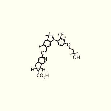 CC(C)(O)CCOc1ccc(C2=CC(C)(C)c3cc(F)c(COc4cc5c(cn4)[C@H]4[C@@H](C5)[C@@H]4C(=O)O)cc32)c(C(F)(F)F)c1